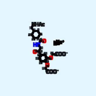 CC(=O)NC[C@H]1CC[C@H](C(=O)NCC(=O)c2ccc(OCC(=O)[O-])c(OCC(=O)[O-])c2)CC1.[Na+].[Na+]